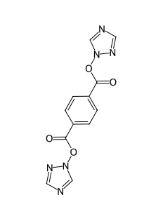 O=C(On1cncn1)c1ccc(C(=O)On2cncn2)cc1